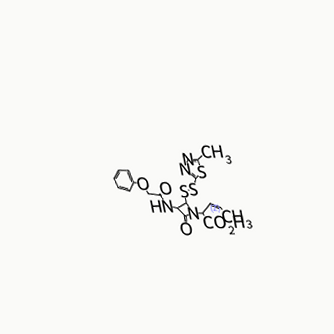 C/C=C\C(C(=O)O)N1C(=O)C(NC(=O)COc2ccccc2)C1SSc1nnc(C)s1